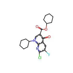 O=C(OC1CCCCC1)c1cn(C2CCCCC2)c2nc(Cl)c(F)cc2c1=O